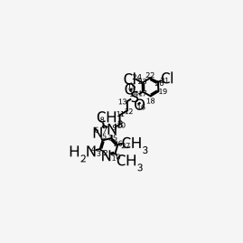 Cc1nc(N)c2nc(C)n(CCCCS(=O)(=O)c3ccc(Cl)cc3Cl)c2c1C